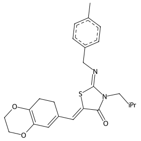 Cc1ccc(C/N=C2\S/C(=C\C3=CC4=C(CC3)OCCO4)C(=O)N2CC(C)C)cc1